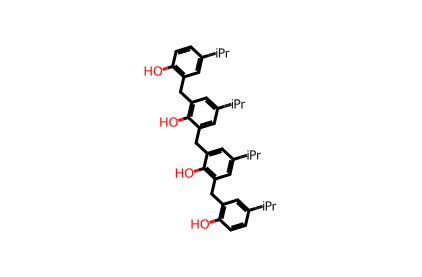 CC(C)c1ccc(O)c(Cc2cc(C(C)C)cc(Cc3cc(C(C)C)cc(Cc4cc(C(C)C)ccc4O)c3O)c2O)c1